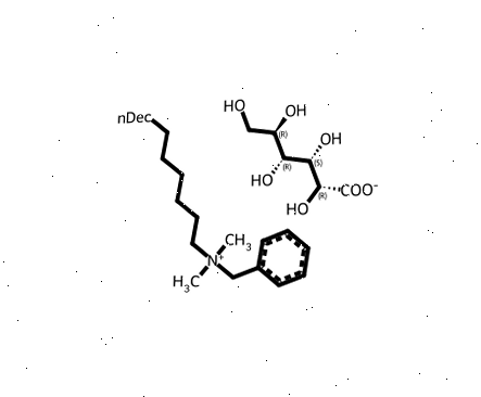 CCCCCCCCCCCCCCCC[N+](C)(C)Cc1ccccc1.O=C([O-])[C@H](O)[C@@H](O)[C@H](O)[C@H](O)CO